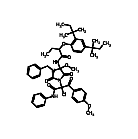 CCC(Oc1ccc(C(C)(C)CC)cc1C(C)(C)CC)C(=O)NC1(OC)C(=O)N(C(Cl)(C(=O)Nc2ccccc2)C(=O)c2ccc(OC)cc2)C(=O)N1Cc1ccccc1